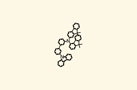 CC1(C)c2ccccc2-c2ccc(N(c3cccc(-c4cccc(-n5c6ccccc6c6ccccc65)c4)c3)c3cccc4c3-c3ccccc3C4(C)C)cc21